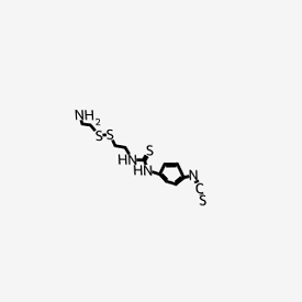 NCCSSCCNC(=S)Nc1ccc(N=C=S)cc1